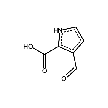 O=Cc1cc[nH]c1C(=O)O